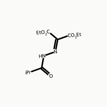 CCOC(=O)C(=NNC(=O)C(C)C)C(=O)OCC